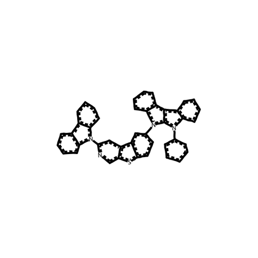 c1ccc(-n2c3ccccc3c3c4ccccc4n(-c4ccc5sc6cnc(-n7c8ccccc8c8ccccc87)cc6c5c4)c32)cc1